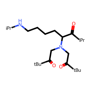 CC(C)NCCCCC(C(=O)C(C)C)N(CC(=O)C(C)(C)C)CC(=O)C(C)(C)C